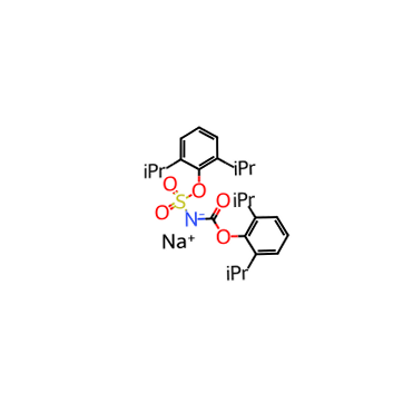 CC(C)c1cccc(C(C)C)c1OC(=O)[N-]S(=O)(=O)Oc1c(C(C)C)cccc1C(C)C.[Na+]